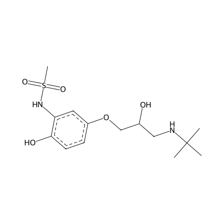 CC(C)(C)NCC(O)COc1ccc(O)c(NS(C)(=O)=O)c1